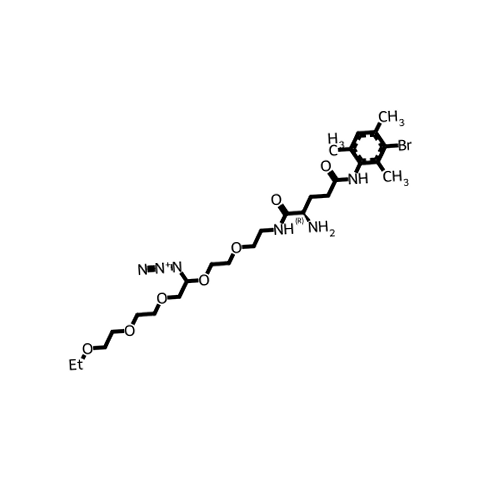 CCOCCOCCOCC(N=[N+]=[N-])OCCOCCNC(=O)[C@H](N)CCC(=O)Nc1c(C)cc(C)c(Br)c1C